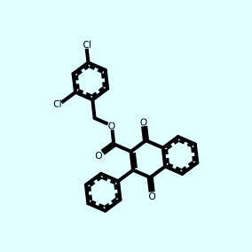 O=C(OCc1ccc(Cl)cc1Cl)C1=C(c2ccccc2)C(=O)c2ccccc2C1=O